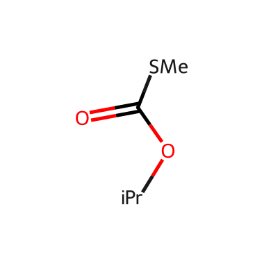 [CH2]SC(=O)OC(C)C